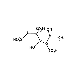 [CH2]C(O)C(C(O)C(CS(=O)(=O)O)S(=O)(=O)O)S(=O)(=O)O